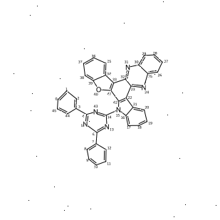 c1ccc(-c2nc(-c3ccccc3)nc(-n3c4ccccc4c4c5nc6ccccc6nc5c5c6ccccc6oc5c43)n2)cc1